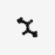 c1ccc(-c2ccc(N(c3ccc(-c4ccc(N(c5ccc(-c6ccccc6)cc5)c5ccc(-c6ccc(N(c7ccccc7)c7cccc8ccccc78)cc6)cc5)cc4)cc3)c3ccc(-c4ccc(N(c5ccccc5)c5cccc6ccccc56)cc4)cc3)cc2)cc1